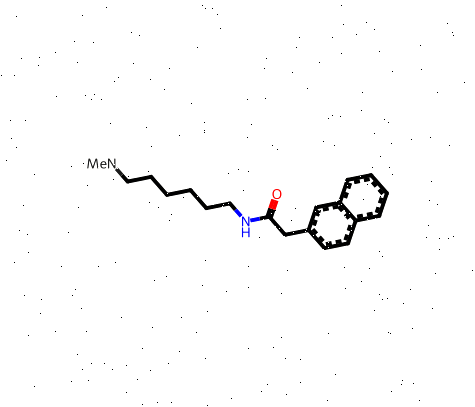 CNCCCCCCNC(=O)Cc1ccc2ccccc2c1